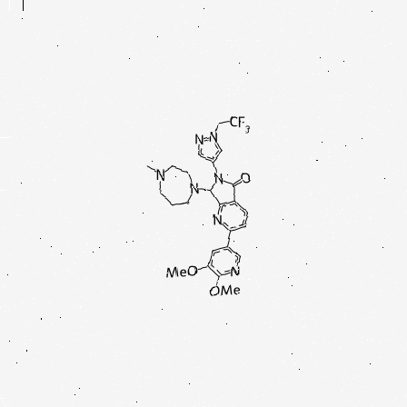 COc1cc(-c2ccc3c(n2)C(N2CCCN(C)CC2)N(c2cnn(CC(F)(F)F)c2)C3=O)cnc1OC